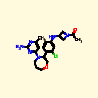 CC(=O)N1CC(Nc2ccc(C3COCCCN3c3cc(C)nc(N)n3)c(Cl)c2)C1